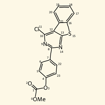 COC(=O)Oc1ccc(-c2nc(Cl)c3c(n2)sc2ccccc23)cc1